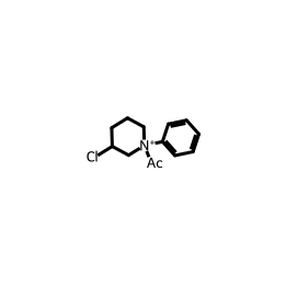 CC(=O)[N+]1(c2ccccc2)CCCC(Cl)C1